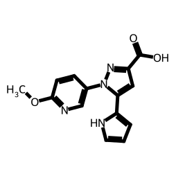 COc1ccc(-n2nc(C(=O)O)cc2-c2ccc[nH]2)cn1